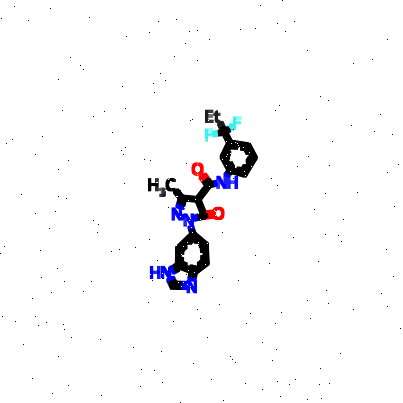 CCC(F)(F)c1cccc(NC(=O)C2C(=O)N(c3ccc4nc[nH]c4c3)N=C2C)c1